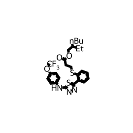 CCCCC(CC)COC(=O)CCSc1ccccc1-c1nnc(Nc2ccc(OC(F)(F)F)cc2)s1